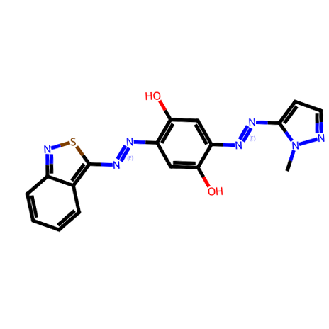 Cn1nccc1/N=N/c1cc(O)c(/N=N/c2snc3ccccc23)cc1O